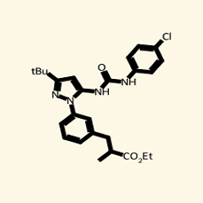 CCOC(=O)C(C)Cc1cccc(-n2nc(C(C)(C)C)cc2NC(=O)Nc2ccc(Cl)cc2)c1